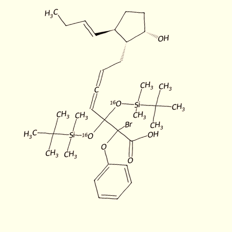 CCC=C[C@H]1CC[C@H](O)[C@@H]1CC=C=CC([16O][Si](C)(C)C(C)(C)C)([16O][Si](C)(C)C(C)(C)C)C(Br)(Oc1ccccc1)C(=O)O